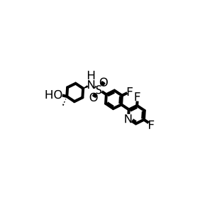 C[C@]1(O)CC[C@@H](NS(=O)(=O)c2ccc(-c3ncc(F)cc3F)c(F)c2)CC1